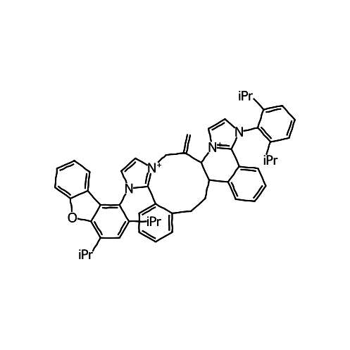 C=C1C[n+]2ccn(-c3c(C(C)C)cc(C(C)C)c4oc5ccccc5c34)c2-c2ccccc2CCC2c3ccccc3-c3n(-c4c(C(C)C)cccc4C(C)C)cc[n+]3C12